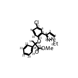 CCn1ccc(-c2cc(Cl)ccc2OC(C)(C(=O)OC)c2ccccc2)n1